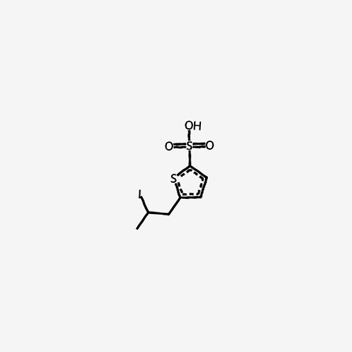 CC(I)Cc1ccc(S(=O)(=O)O)s1